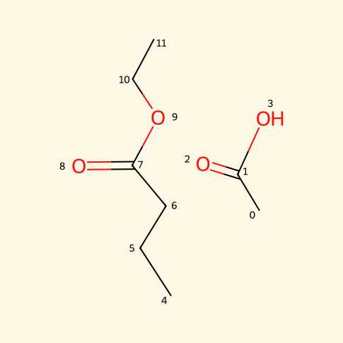 CC(=O)O.CCCC(=O)OCC